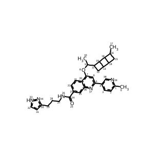 Cc1ccc(-c2cc(OC(C)C3CC4C5CC(C)C5C34)c3ccc(C(=O)NCCCc4cc[nH]n4)cc3n2)cn1